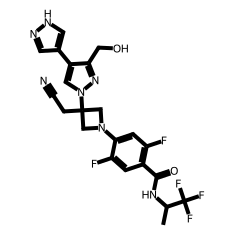 CC(NC(=O)c1cc(F)c(N2CC(CC#N)(n3cc(-c4cn[nH]c4)c(CO)n3)C2)cc1F)C(F)(F)F